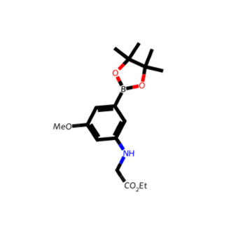 CCOC(=O)CNc1cc(OC)cc(B2OC(C)(C)C(C)(C)O2)c1